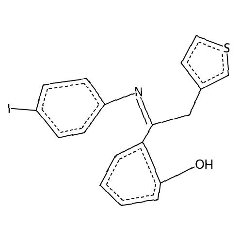 Oc1ccccc1C(Cc1ccsc1)=Nc1ccc(I)cc1